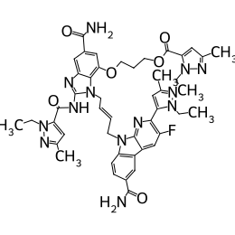 CCn1nc(C)cc1C(=O)Nc1nc2cc(C(N)=O)cc(OCCCOC(=O)c3cc(C)nn3CC)c2n1C/C=C/Cn1c2ccc(C(N)=O)cc2c2cc(F)c(-c3cc(C)nn3CC)nc21